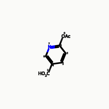 CC(=O)Oc1c[c]c(C(=O)O)cn1